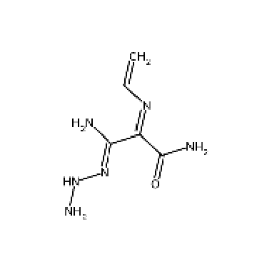 C=C/N=C(C(N)=O)\C(N)=N\NN